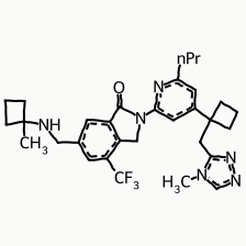 CCCc1cc(C2(Cc3nncn3C)CCC2)cc(N2Cc3c(cc(CNC4(C)CCC4)cc3C(F)(F)F)C2=O)n1